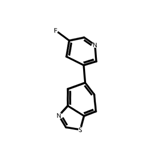 Fc1cncc(-c2ccc3scnc3c2)c1